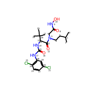 CC(C)CCN(CC(=O)NO)C(=O)[C@@H](NC(=O)Nc1cc(Cl)ccc1Cl)C(C)(C)C